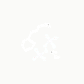 C=CC=Cc1ccccc1.O=S(=O)([O-])OOS(=O)(=O)[O-].[Na+].[Na+]